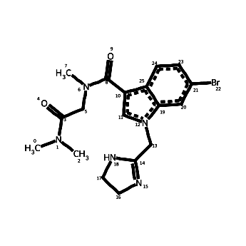 CN(C)C(=O)CN(C)C(=O)c1cn(CC2=NCCN2)c2cc(Br)ccc12